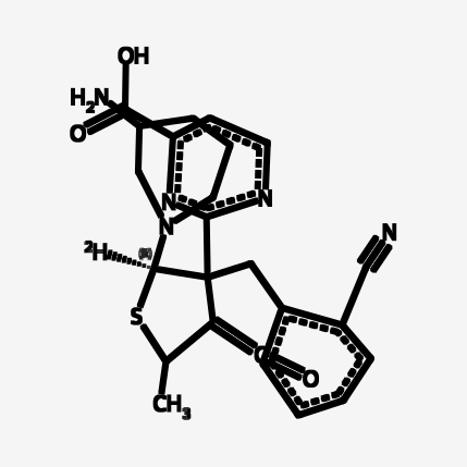 [2H][C@@]1(N2CCCC(N)C2)SC(C)C(=C=O)C1(Cc1ccccc1C#N)c1nccc(C(=O)O)n1